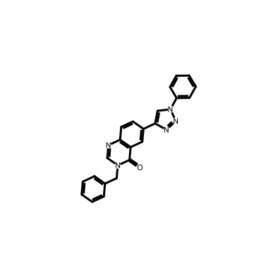 O=c1c2cc(-c3cn(-c4ccccc4)nn3)ccc2ncn1Cc1ccccc1